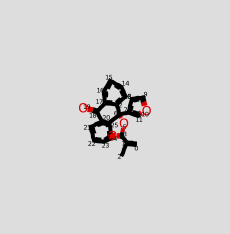 C=C(C)C(=O)OC1(c2ccoc2)c2ccccc2C(=O)c2ccccc21